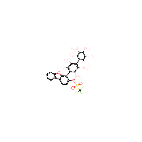 Bc1c(B)c(B)c(-c2c(B)c(B)c(-c3c(OS(=O)(=O)C(F)(F)F)ccc4c3oc3ccccc34)c(B)c2B)c(B)c1B